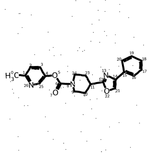 Cc1ccc(OC(=O)N2CCC(c3nc(-c4ccccc4)co3)CC2)cn1